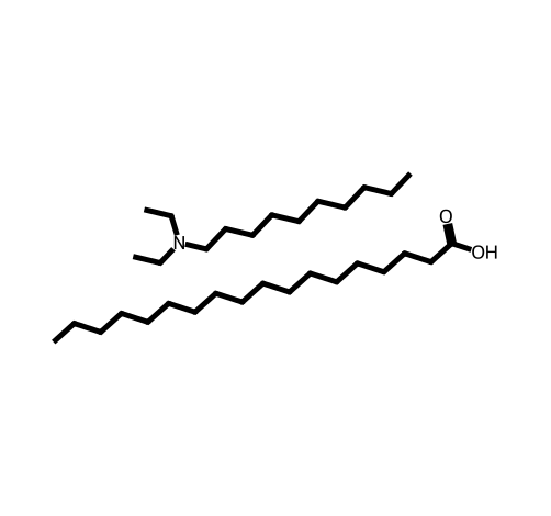 CCCCCCCCCCCCCCCCCC(=O)O.CCCCCCCCCCN(CC)CC